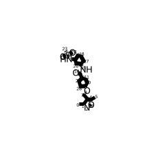 Cc1noc(C)c1COc1ccc(C(=O)Nc2cccc(NS(C)(=O)=O)c2)cc1